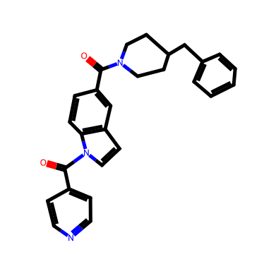 O=C(c1ccc2c(ccn2C(=O)c2ccncc2)c1)N1CCC(Cc2ccccc2)CC1